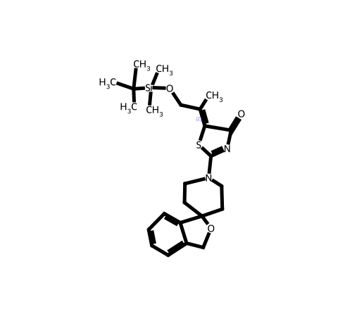 C/C(CO[Si](C)(C)C(C)(C)C)=C1/SC(N2CCC3(CC2)OCc2ccccc23)=NC1=O